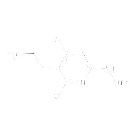 C=CCc1c(Cl)nc(NC=O)nc1Cl